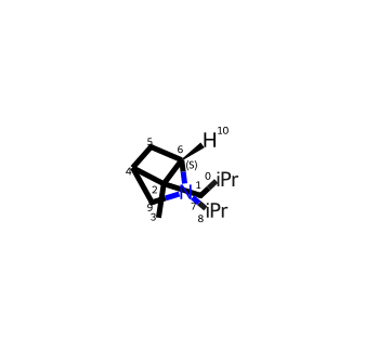 CC(C)CC1(C)C2C[C@@H]1N(C(C)C)C2